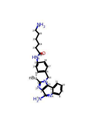 CCCCc1nc2c(N)nc3ccccc3c2n1Cc1ccc(NC(=O)CCCCCN)cc1